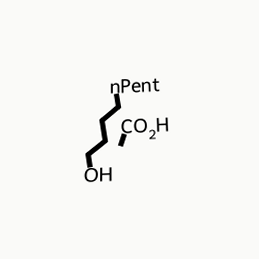 CC(=O)O.CCCCCCCCCO